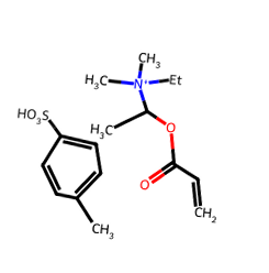 C=CC(=O)OC(C)[N+](C)(C)CC.Cc1ccc(S(=O)(=O)O)cc1